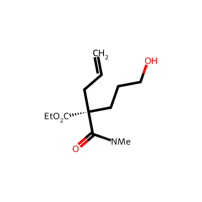 C=CC[C@@](CCCO)(C(=O)NC)C(=O)OCC